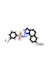 CSc1ccc2c(ccc3cnn(NS(=O)(=O)c4cccc(C(F)(F)F)c4)c32)c1